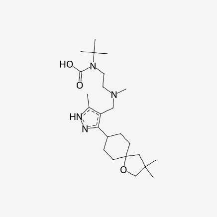 Cc1[nH]nc(C2CCC3(CC2)CC(C)(C)CO3)c1CN(C)CCN(C(=O)O)C(C)(C)C